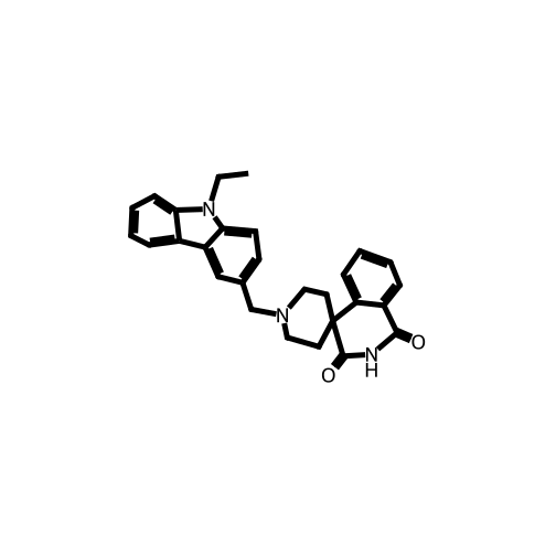 CCn1c2ccccc2c2cc(CN3CCC4(CC3)C(=O)NC(=O)c3ccccc34)ccc21